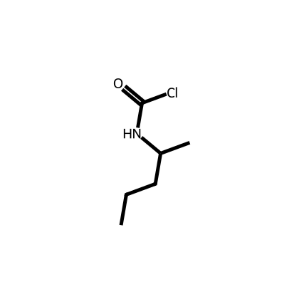 CCCC(C)NC(=O)Cl